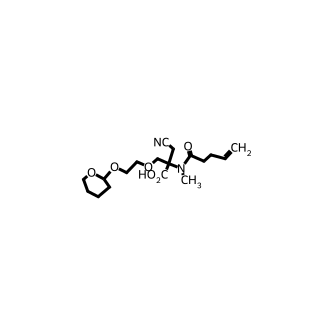 C=CCCC(=O)N(C)C(CC#N)(COCCOC1CCCCO1)C(=O)O